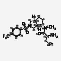 CC(C)C[C@H](N)C(=O)N(C)[C@H]1CC[C@@H]2CN(S(=O)(=O)c3ccc(C(F)(F)F)cc3)C[C@@H]21